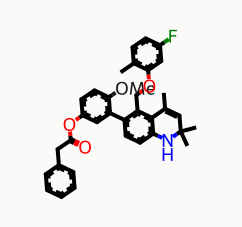 COc1ccc(OC(=O)Cc2ccccc2)cc1-c1ccc2c(c1COc1cc(F)ccc1C)C(C)=CC(C)(C)N2